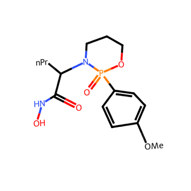 CCCC(C(=O)NO)N1CCCOP1(=O)c1ccc(OC)cc1